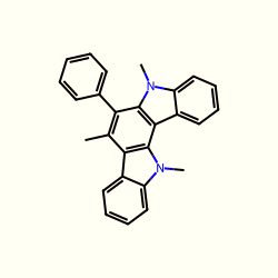 Cc1c(-c2ccccc2)c2c(c3ccccc3n2C)c2c1c1ccccc1n2C